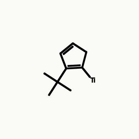 CC(C)(C)C1=[C]([Ti])CC=C1